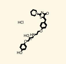 Cl.O=C1N=C(N2CCCCC2)SC1=Cc1ccc(OCCNC[C@H](O)COc2ccc(O)cc2)cc1